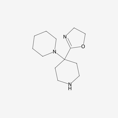 C1CCN(C2(C3=NCCO3)CCNCC2)CC1